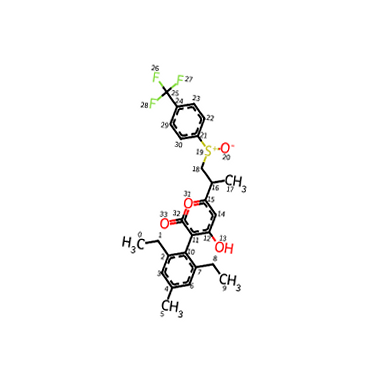 CCc1cc(C)cc(CC)c1-c1c(O)cc(C(C)C[S+]([O-])c2ccc(C(F)(F)F)cc2)oc1=O